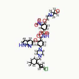 CC1(C)CCC(CN2CCN(c3ccc(C(=O)NS(=O)(=O)c4ccc(OCCN5CC6(COC6)C5)c([N+](=O)[O-])c4)c(Oc4cnc5[nH]ccc5c4)c3)CC2)=C(C23CC(Cl)(C2)C3)C1